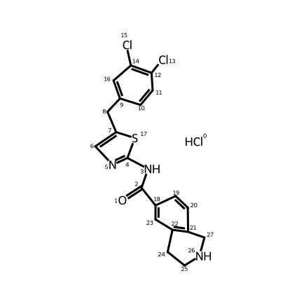 Cl.O=C(Nc1ncc(Cc2ccc(Cl)c(Cl)c2)s1)c1ccc2c(c1)CCNC2